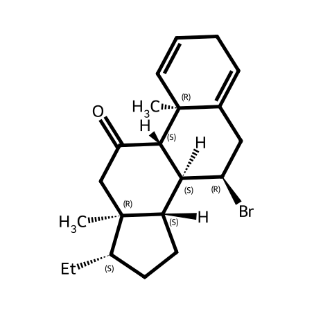 CC[C@H]1CC[C@H]2[C@@H]3[C@H](Br)CC4=CCC=C[C@]4(C)[C@H]3C(=O)C[C@]12C